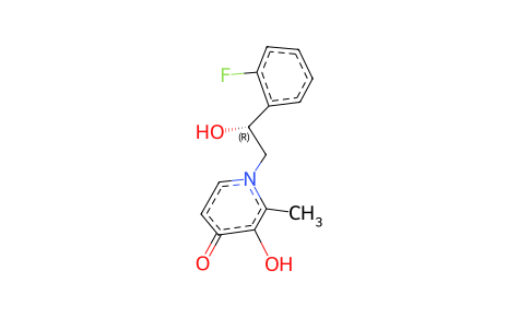 Cc1c(O)c(=O)ccn1C[C@H](O)c1ccccc1F